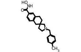 Cc1ccc(CN2CCC3(CCc4cc(C(=O)NO)ccc4C3)C2)cc1